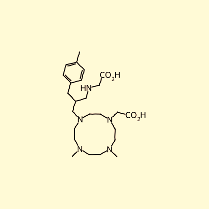 Cc1ccc(CC(CNCC(=O)O)CN2CCN(C)CCN(C)CCN(CC(=O)O)CC2)cc1